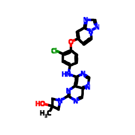 CC1(O)CN(c2ncc3ncnc(Nc4ccc(Oc5ccn6ncnc6c5)c(Cl)c4)c3n2)C1